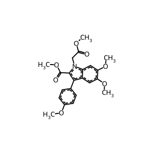 COC(=O)Cn1c(C(=O)OC)c(-c2ccc(OC)cc2)c2cc(OC)c(OC)cc21